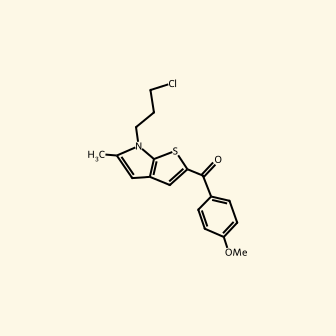 COc1ccc(C(=O)c2cc3cc(C)n(CCCCl)c3s2)cc1